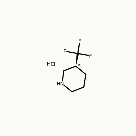 Cl.FC(F)(F)[C@H]1CCCNC1